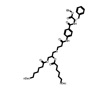 CCCCCCCCCCCCCCCC(=O)OCC(CSCCC(=O)Nc1ccc(C(=O)N[C@@H](Cc2ccccc2)C(=O)OC(C)(C)C)cc1)OC(=O)CCCCCCCCCCCCCCC